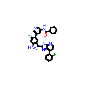 O=C(Nc1cncc(-c2cc3c(-c4nc5c(-c6ccccc6F)ccnc5[nH]4)n[nH]c3cc2F)c1)C1CCCCC1